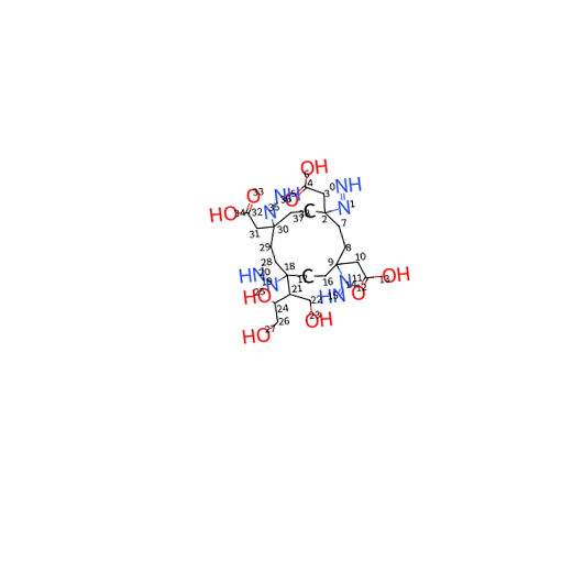 N=NC1(CC(=O)O)CCC(CC(=O)O)(N=N)CCC(N=N)(C(CO)C(O)CO)CCC(CC(=O)O)(N=N)CC1